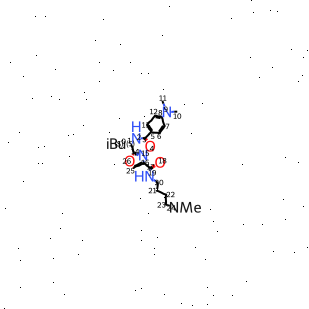 CC[C@H](C)[C@H](NC(=O)c1ccc(N(C)C)cc1)c1nc(C(=O)NCCCCNC)co1